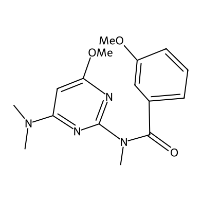 COc1cccc(C(=O)N(C)c2nc(OC)cc(N(C)C)n2)c1